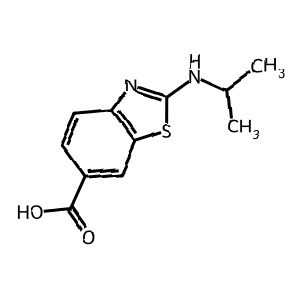 CC(C)Nc1nc2ccc(C(=O)O)cc2s1